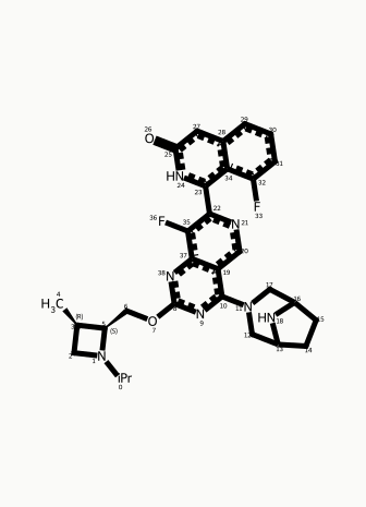 CC(C)N1C[C@@H](C)[C@H]1COc1nc(N2CC3CCC(C2)N3)c2cnc(-c3[nH]c(=O)cc4cccc(F)c34)c(F)c2n1